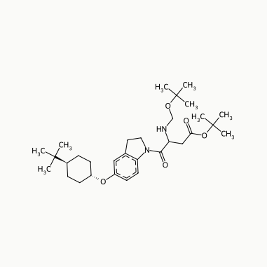 CC(C)(C)OCNC(CC(=O)OC(C)(C)C)C(=O)N1CCc2cc(O[C@H]3CC[C@H](C(C)(C)C)CC3)ccc21